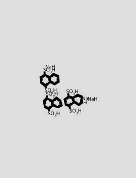 O=S(=O)(O)c1ccc(S(=O)(=O)O)c2ccccc12.O=S(=O)(O)c1ccc(S(=O)(=O)O)c2ccccc12.O=S(=O)(O)c1ccc(S(=O)(=O)O)c2ccccc12.[NaH].[NaH].[NaH]